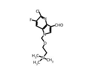 C[Si](C)(C)CCOCn1cc(C=O)c2nc(Cl)c(F)cc21